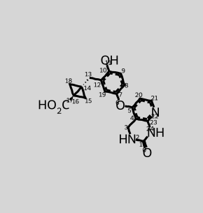 O=C1NCc2c(Oc3ccc(O)c(C[C@]45C[C@]4(C(=O)O)C5)c3)ccnc2N1